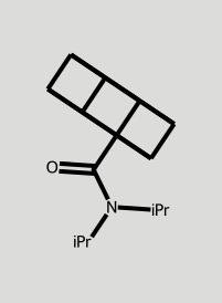 CC(C)N(C(=O)C12C3C4C5C3C1C5C42)C(C)C